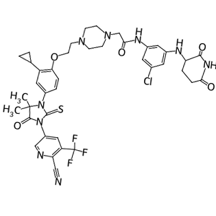 CC1(C)C(=O)N(c2cnc(C#N)c(C(F)(F)F)c2)C(=S)N1c1ccc(OCCN2CCN(CC(=O)Nc3cc(Cl)cc(NC4CCC(=O)NC4=O)c3)CC2)c(C2CC2)c1